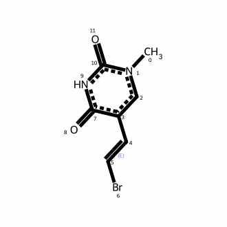 Cn1cc(/C=C/Br)c(=O)[nH]c1=O